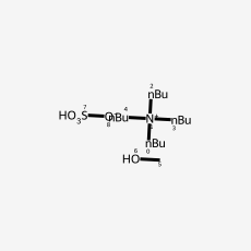 CCCC[N+](CCCC)(CCCC)CCCC.CO.O=S(=O)([O-])O